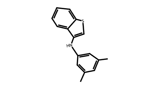 Cc1cc(C)cc(Nc2csc3ccccc23)c1